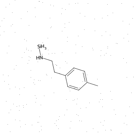 Cc1ccc(CCN[SiH3])cc1